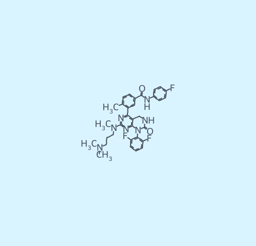 Cc1ccc(C(=O)Nc2ccc(F)cc2)cc1-c1nc(N(C)CCCN(C)C)nc2c1CNC(=O)N2c1c(F)cccc1F